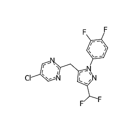 Fc1ccc(-n2nc(C(F)F)cc2Cc2ncc(Cl)cn2)cc1F